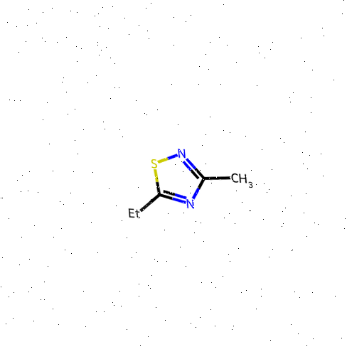 CCc1nc(C)ns1